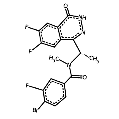 C[C@@H](c1n[nH]c(=O)c2cc(F)c(F)cc12)N(C)C(=O)c1ccc(Br)c(F)c1